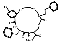 COC(=O)[C@@H]1CCC(=O)N(CCc2ccccc2)CCCCOc2cc(Cl)ccc2C(=O)N[C@H](Cc2ccccc2)C(=O)N1